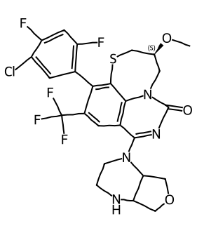 CO[C@@H]1CSc2c(-c3cc(Cl)c(F)cc3F)c(C(F)(F)F)cc3c(N4CCNC5COCC54)nc(=O)n(c23)C1